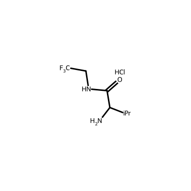 CC(C)C(N)C(=O)NCC(F)(F)F.Cl